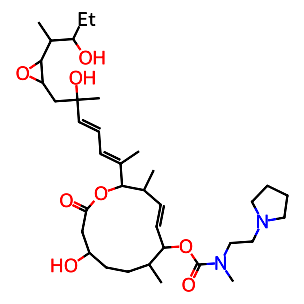 CCC(O)C(C)C1OC1CC(C)(O)/C=C/C=C(\C)C1OC(=O)CC(O)CCC(C)C(OC(=O)N(C)CCN2CCCC2)/C=C/C1C